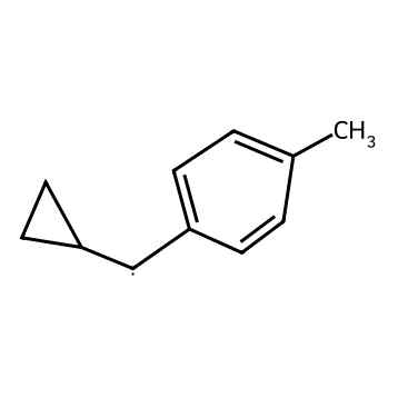 Cc1ccc([CH]C2CC2)cc1